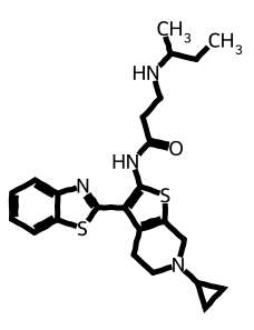 CCC(C)NCCC(=O)Nc1sc2c(c1-c1nc3ccccc3s1)CCN(C1CC1)C2